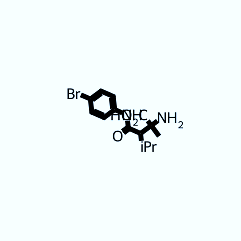 CC(C)C(C(=O)Nc1ccc(Br)cc1)C(C)(N)C(=O)O